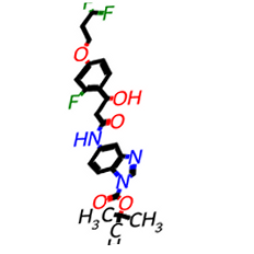 CC(C)(C)OC(=O)n1cnc2cc(NC(=O)CC(O)c3ccc(OCCC(F)F)cc3F)ccc21